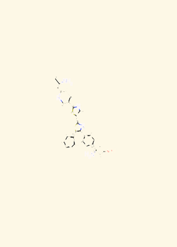 C=C(N)CC1CC=C(c2ncc(-c3nc(-c4ccc(C5(N)CC(O)C5)cc4)c(-c4ccccc4)s3)s2)C=N1